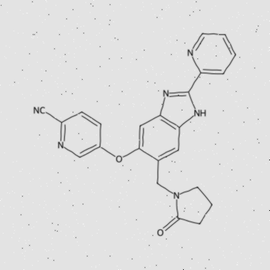 N#Cc1ccc(Oc2cc3nc(-c4ccccn4)[nH]c3cc2CN2CCCC2=O)cn1